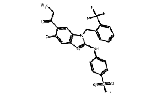 CCC(=O)c1cc2c(cc1F)nc(Nc1ccc(S(C)(=O)=O)cc1)n2Cc1ccccc1C(F)(F)F